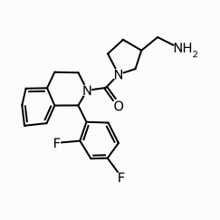 NCC1CCN(C(=O)N2CCc3ccccc3C2c2ccc(F)cc2F)C1